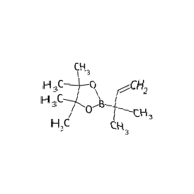 C=CC(C)(C)B1OC(C)(C)C(C)(C)O1